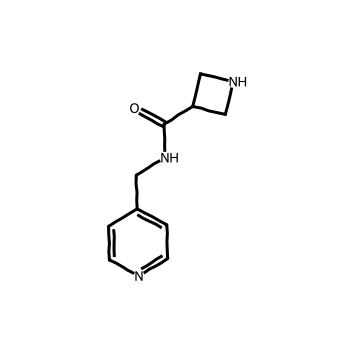 O=C(NCc1ccncc1)C1CNC1